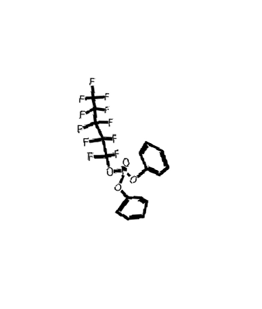 O=P(Oc1ccccc1)(Oc1ccccc1)OC(F)(F)C(F)(F)C(F)(F)C(F)(F)C(F)(F)F